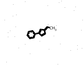 CC=C1[C]=C(c2ccccc2)C=C1